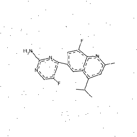 Cc1cc(C(C)C)c2cc(-c3nc(N)ncc3F)cc(F)c2n1